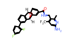 Cc1nc(N)cc(C(F)(F)F)c1CNC(=O)c1ccc2c(c1)[C@@H]1O[C@H]2c2ccc(-c3ccc(F)cc3F)cc21